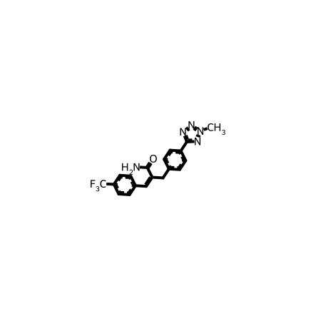 Cn1nnc(-c2ccc(CC(=Cc3ccc(C(F)(F)F)cc3)C(N)=O)cc2)n1